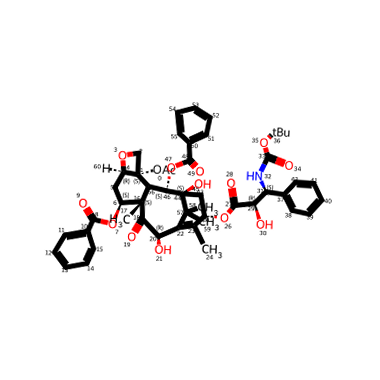 CC(=O)O[C@@]12CO[C@@H]1C[C@H](OC(=O)c1ccccc1)[C@@]1(C)C(=O)[C@H](O)C3=C(C)[C@@H](OC(=O)[C@H](O)[C@@H](NC(=O)OC(C)(C)C)c4ccccc4)C[C@@](O)([C@@H](OC(=O)c4ccccc4)C12)C3(C)C